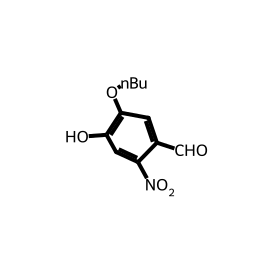 CCCCOc1cc(C=O)c([N+](=O)[O-])cc1O